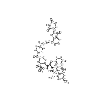 CC(C)(C)C[C@@H]1N[C@@H](C(=O)Nc2ccc(C(=O)N3CCC4(CC3)C[C@@H]4C#Cc3cccc4c3CN([C@H]3CCC(=O)NC3=O)C4=O)cc2S(=O)(=O)C(F)(F)F)[C@H](c2cccc(Cl)c2F)[C@]12CNc1cc(C(F)(F)F)ncc12